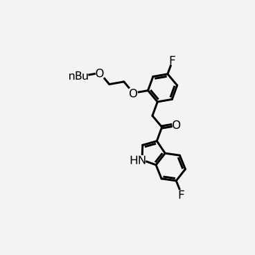 CCCCOCCOc1cc(F)ccc1CC(=O)c1c[nH]c2cc(F)ccc12